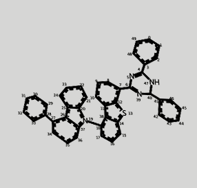 c1ccc(C2=NC(c3cccc4c3sc3cccc(-n5c6ccccc6c6c(-c7ccccc7)cccc65)c34)=NC(c3ccccc3)N2)cc1